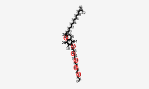 CCCOCCOCCOCCOCCOc1c(C)c(C)c2c(c1C)CCC(C)(CCCCCCCCCCCC(C)C)O2